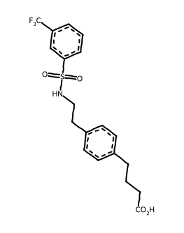 O=C(O)CCCc1ccc(CCNS(=O)(=O)c2cccc(C(F)(F)F)c2)cc1